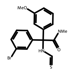 CNC(=O)C(NC=S)(c1cccc(Br)c1)c1cccc(OC)c1